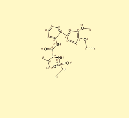 CCOc1ccc(-c2ccccc2NC(=O)[C@@H](NS(=O)(=O)CC)C(C)C)cc1OC